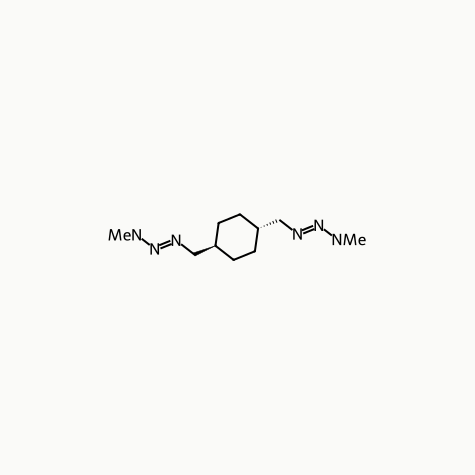 CNN=NC[C@H]1CC[C@H](CN=NNC)CC1